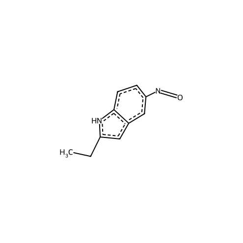 CCc1cc2cc(N=O)ccc2[nH]1